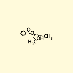 CCCCCC(CC(C)O)OCC(=O)c1ccccc1